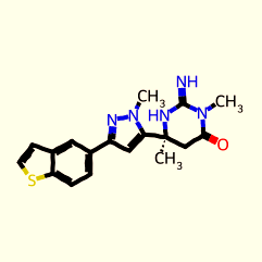 CN1C(=N)N[C@](C)(c2cc(-c3ccc4sccc4c3)nn2C)CC1=O